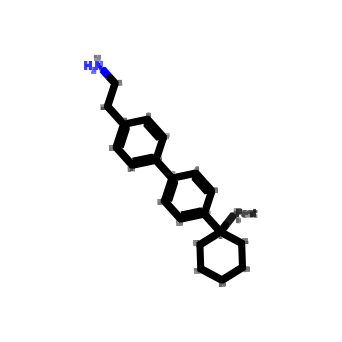 CCCC(C)C1(c2ccc(-c3ccc(CCN)cc3)cc2)CCCCC1